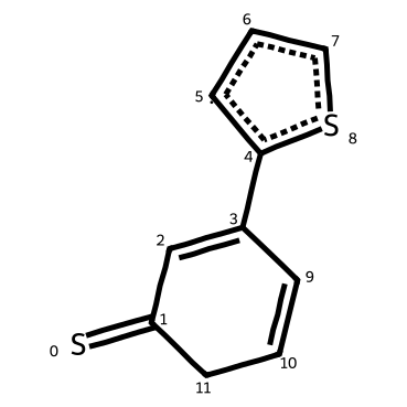 S=C1C=C(c2[c]ccs2)C=CC1